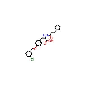 O=C(CCC1CCCC1)N/C(=C/c1ccc(OCc2cccc(Cl)c2)cc1)C(=O)O